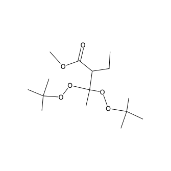 CCC(C(=O)OC)C(C)(OOC(C)(C)C)OOC(C)(C)C